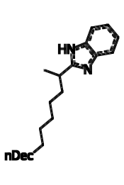 CCCCCCCCCCCCCCCC(C)c1nc2ccccc2[nH]1